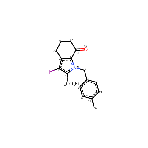 CCOC(=O)c1c(I)c2c(n1Cc1ccc(C)cc1)C(=O)CCC2